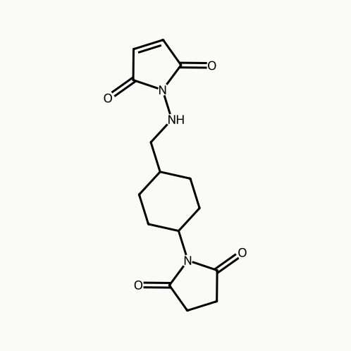 O=C1C=CC(=O)N1NCC1CCC(N2C(=O)CCC2=O)CC1